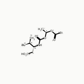 CCC(=O)O[C@H](C)OC(=O)N[C@H](CC(=O)O)[C@H](C)[C@H](C)CC